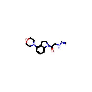 C=NNCC(=O)N1CCc2c(N3CCOCC3)cccc21